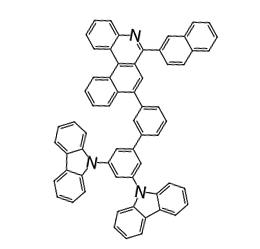 c1cc(-c2cc(-n3c4ccccc4c4ccccc43)cc(-n3c4ccccc4c4ccccc43)c2)cc(-c2cc3c(-c4ccc5ccccc5c4)nc4ccccc4c3c3ccccc23)c1